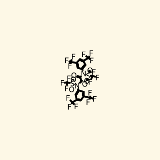 O=C(C(=O)N(c1cc(C(F)(F)F)cc(C(F)(F)F)c1)S(=O)(=O)C(F)(F)F)N(c1cc(C(F)(F)F)cc(C(F)(F)F)c1)S(=O)(=O)C(F)(F)F